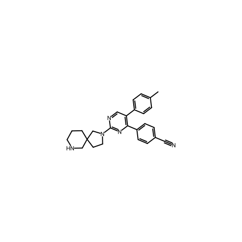 Cc1ccc(-c2cnc(N3CCC4(CCCNC4)C3)nc2-c2ccc(C#N)cc2)cc1